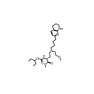 CCC(CC)OC(=O)N[C@@H](CCN(CCCCc1ccc2c(n1)NCCC2)CCOC)C(=O)OC